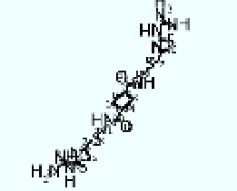 N=C(N)Nc1nc(CSCCNC(=O)c2ccc(C(=O)NCCSCc3csc(NC(=N)N)n3)cc2)cs1